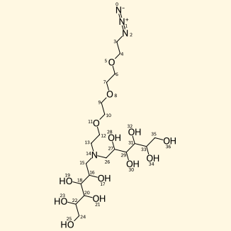 [N-]=[N+]=NCCOCCOCCOCCN(CC(O)C(O)C(O)C(O)CO)CC(O)C(O)C(O)C(O)CO